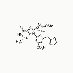 COC(=O)C(C)(C)c1c(CC2OCCS2)cc(C(=O)O)cc1-n1c(=O)sc2c(=O)[nH]c(N)nc21